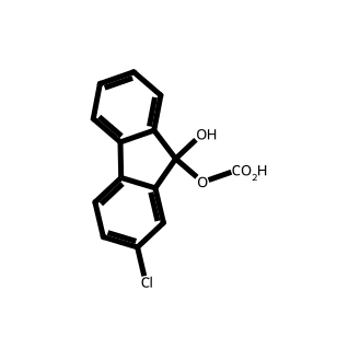 O=C(O)OC1(O)c2ccccc2-c2ccc(Cl)cc21